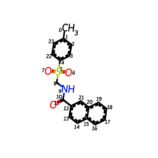 Cc1ccc(S(=O)(=O)CNC(=O)c2ccc3ccccc3c2)cc1